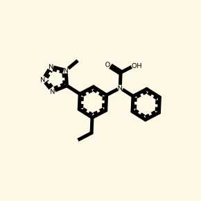 CCc1cc(-c2nnnn2C)cc(N(C(=O)O)c2ccccc2)c1